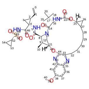 C=C[C@@H]1C[C@]1(NC(=O)[C@@H]1[C@H](C)[C@@H]2CN1C(=O)[C@H](C(C)(C)C)NC(=O)O[C@@H]1CC1CCCCCc1nc3ccc(OC)cc3nc1O2)C(=O)NS(=O)(=O)C1CC1